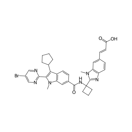 Cn1c(C2(NC(=O)c3ccc4c(C5CCCC5)c(-c5ncc(Br)cn5)n(C)c4c3)CCC2)nc2ccc(C=CC(=O)O)cc21